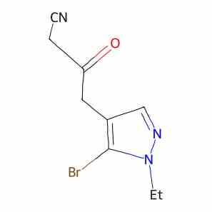 CCn1ncc(CC(=O)CC#N)c1Br